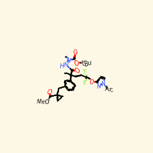 COC(=O)C1(Cc2cccc(C(C)(CCC(F)(F)COc3ccn(C(C)=O)n3)C(=O)NN(C)C(=O)OC(C)(C)C)c2)CC1